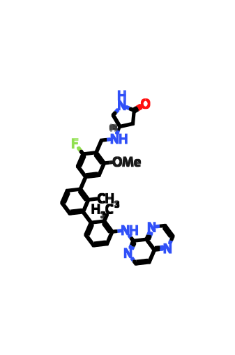 COc1cc(-c2cccc(-c3cccc(Nc4nccc5nccnc45)c3C)c2C)cc(F)c1CN[C@H]1CNC(=O)C1